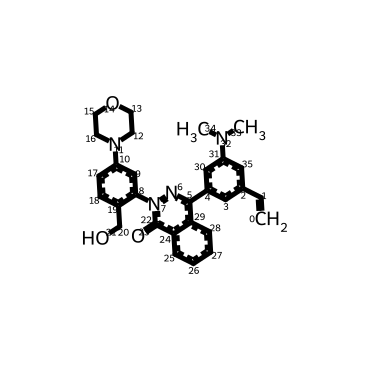 C=Cc1cc(-c2nn(-c3cc(N4CCOCC4)ccc3CO)c(=O)c3ccccc23)cc(N(C)C)c1